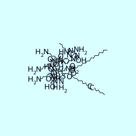 CCCCCCCCCCCCCCCC(=O)OCC(CSC[C@H](N)C(=O)N[C@@H](CO)C(=O)N[C@@H](CCCCN)C(=O)N[C@@H](CCCCN)C(=O)N[C@@H](CCCCN)C(=O)N[C@@H](CCCCN)C(=O)Nc1ccc(Cn2c(O)nc3c(N)nc(NCCCC)nc32)cc1)OC(=O)CCCCCCCCCCCCCCC